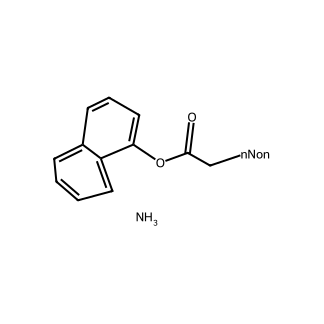 CCCCCCCCCCC(=O)Oc1cccc2ccccc12.N